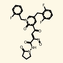 O=N/C(=C\C(=O)c1cc(Cc2c(F)cccc2F)cn(Cc2ccccc2F)c1=O)C(=O)NN1CCCC1=O